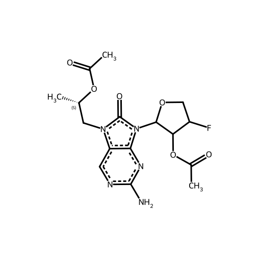 CC(=O)OC1C(F)COC1n1c(=O)n(C[C@H](C)OC(C)=O)c2cnc(N)nc21